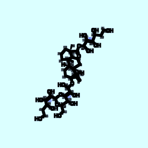 C=C1C[C@@]23CCC4[C@](C)(C(=O)OC(O)/C(O)=C(\O)C(O)CCO)CCC[C@@]4(C)[C@@H]2CCC1(OC(O)/C(O)=C(\OC(O)/C(O)=C(/O)C(O)CCO)C(O)CCO)[C@@H]3C